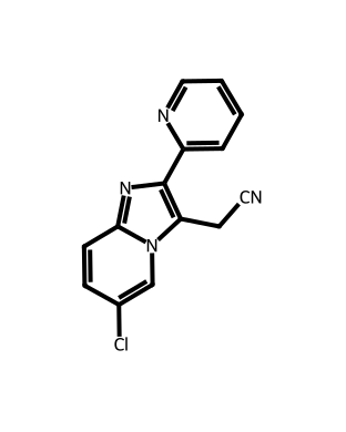 N#CCc1c(-c2ccccn2)nc2ccc(Cl)cn12